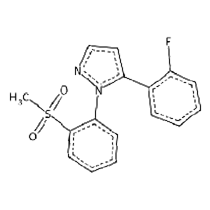 CS(=O)(=O)c1ccccc1-n1nccc1-c1ccccc1F